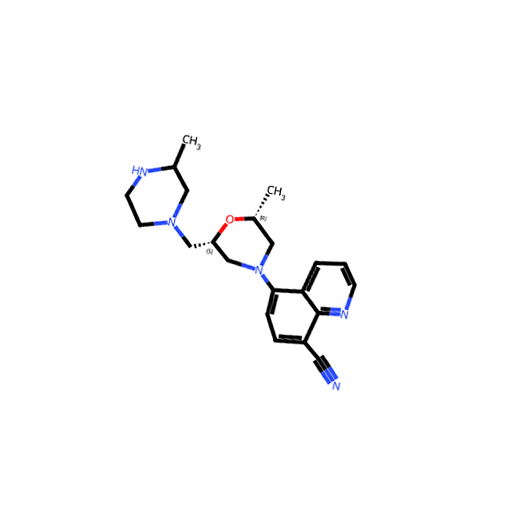 CC1CN(C[C@H]2CN(c3ccc(C#N)c4ncccc34)C[C@@H](C)O2)CCN1